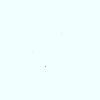 [CH]1Oc2ccncc2O1